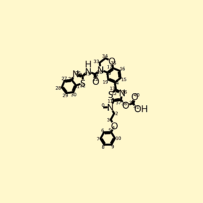 CN(CCOc1ccccc1)c1sc(-c2ccc3c(c2)N(C(=O)Nc2nc4ccccc4s2)CCO3)nc1OC(=O)O